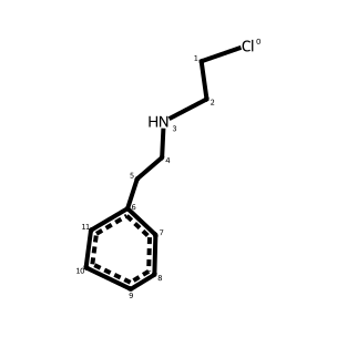 ClCCNCCc1ccccc1